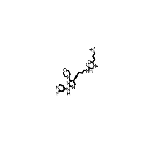 CN(C)C/C=C/C(=O)N(C)CC(=O)NCCCC#Cc1cnc(Nc2ccnc(F)c2)nc1N1CCOCC1